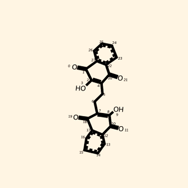 O=C1C(O)=C(CCC2=C(O)C(=O)c3ccccc3C2=O)C(=O)c2ccccc21